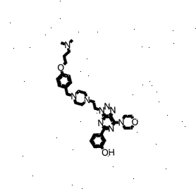 CN(C)CCCOc1ccc(CN2CCN(CCn3nnc4c(N5CCOCC5)nc(-c5cccc(O)c5)nc43)CC2)cc1